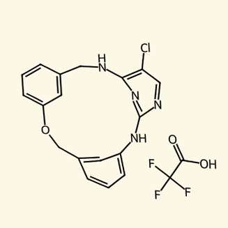 Clc1cnc2nc1NCc1cccc(c1)OCc1cccc(c1)N2.O=C(O)C(F)(F)F